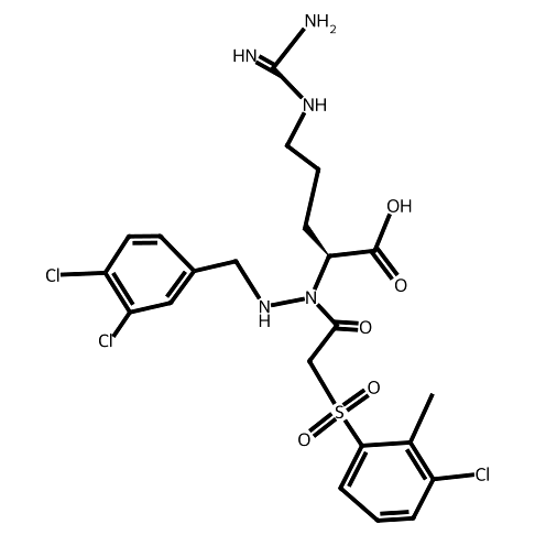 Cc1c(Cl)cccc1S(=O)(=O)CC(=O)N(NCc1ccc(Cl)c(Cl)c1)[C@@H](CCCNC(=N)N)C(=O)O